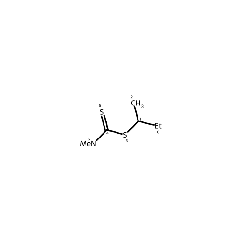 CCC(C)SC(=S)NC